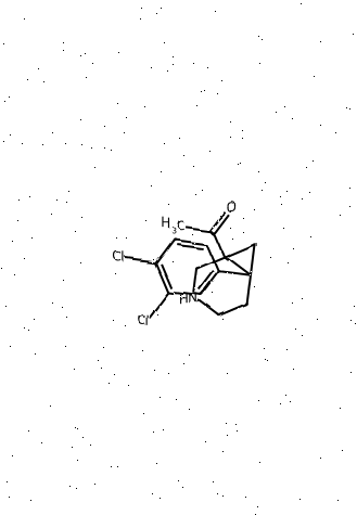 CC(=O)C12CNCCC1(c1ccc(Cl)c(Cl)c1)C2